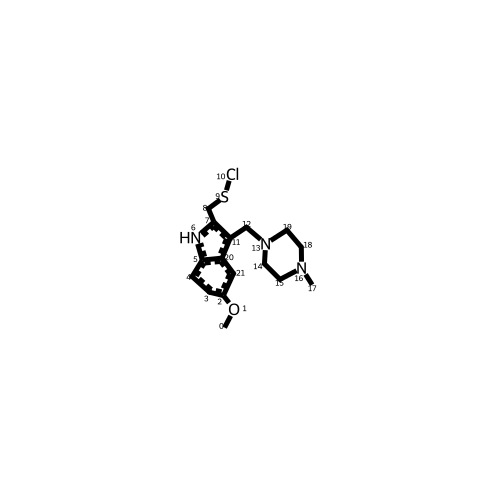 COc1ccc2[nH]c(CSCl)c(CN3CCN(C)CC3)c2c1